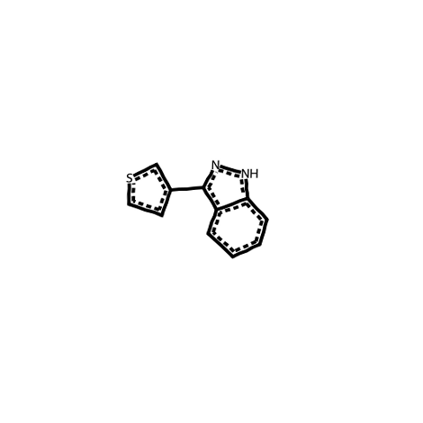 c1ccc2c(-c3ccsc3)n[nH]c2c1